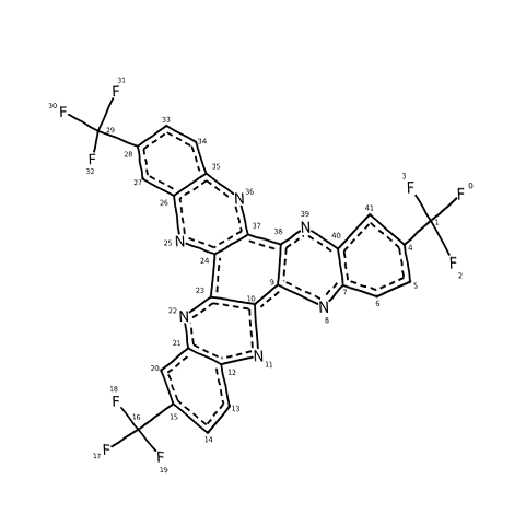 FC(F)(F)c1ccc2nc3c4nc5ccc(C(F)(F)F)cc5nc4c4nc5cc(C(F)(F)F)ccc5nc4c3nc2c1